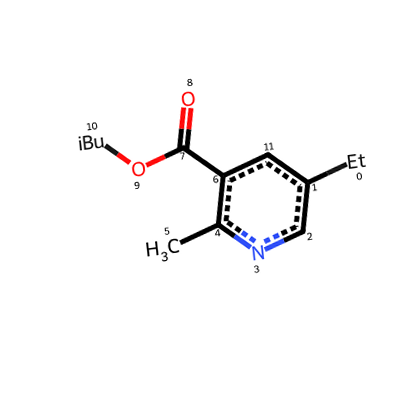 CCc1cnc(C)c(C(=O)OC(C)CC)c1